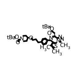 Cc1sc2c(c1C)C(c1ccc(CCCOC3CCN(C(=O)OC(C)(C)C)CC3)cc1)=N[C@@H](CC(=O)OC(C)(C)C)c1nnc(C)n1-2